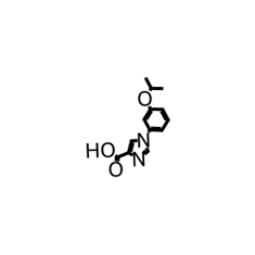 CC(C)Oc1cccc(-n2cnc(C(=O)O)c2)c1